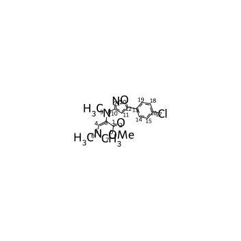 COC(=O)C(=CN(C)C)N(C)c1cc(-c2ccc(Cl)cc2)on1